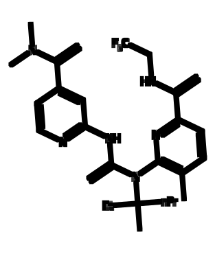 C=C(NCC(F)(F)F)c1ccc(C)c(N(C(=C)Nc2cc(C(=C)N(C)C)ccn2)C(C)(CC)CCC)n1